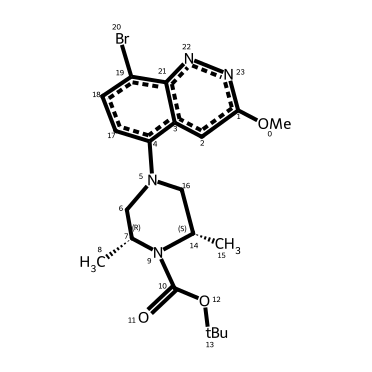 COc1cc2c(N3C[C@@H](C)N(C(=O)OC(C)(C)C)[C@@H](C)C3)ccc(Br)c2nn1